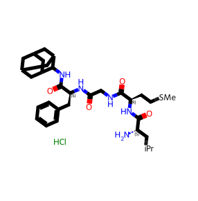 CSCC[C@@H](NC(=O)[C@@H](N)CC(C)C)C(=O)NCC(=O)N[C@@H](Cc1ccccc1)C(=O)NC1C2CC3CC(C2)CC1C3.Cl